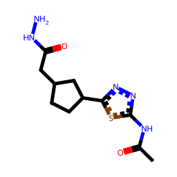 CC(=O)Nc1nnc(C2CCC(CC(=O)NN)C2)s1